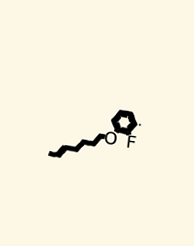 C/C=C/CCCCOc1ccc[c]c1F